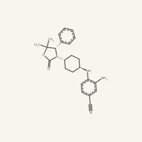 CC1(C)OC(=O)N([C@H]2CC[C@H](Nc3ccc(C#N)cc3N)CC2)[C@H]1c1ccccc1